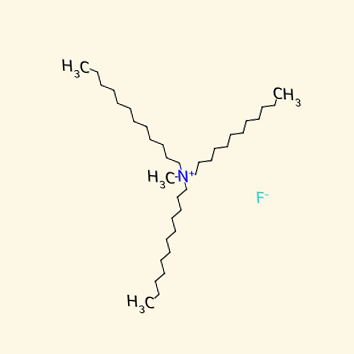 CCCCCCCCCCCC[N+](C)(CCCCCCCCCCCC)CCCCCCCCCCCC.[F-]